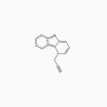 C#CCC1C=CC=C2N=c3ccccc3=C21